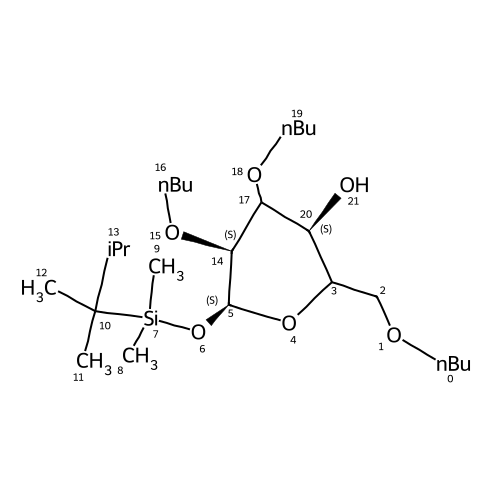 CCCCOCC1O[C@@H](O[Si](C)(C)C(C)(C)C(C)C)[C@@H](OCCCC)C(OCCCC)[C@H]1O